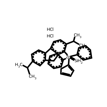 CC(C)c1ccc2c(c1)Cc1c-2ccc(C(C)C)[c]1[Zr](=[SiH2])([C]1=CC=CC1)([c]1ccccc1)[c]1ccccc1.Cl.Cl